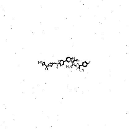 CCc1nc2ccc(-c3cnc(NCC4CN(C(=O)C5CNC5)C4)nc3)cn2c1N(C)c1nc(-c2ccc(F)cc2)c(C#N)s1